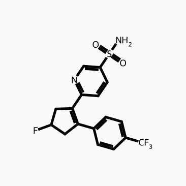 NS(=O)(=O)c1ccc(C2=C(c3ccc(C(F)(F)F)cc3)CC(F)C2)nc1